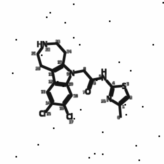 Cc1csc(NC(=O)Cn2c3c(c4cc(Cl)c(Cl)cc42)CCNCC3)n1